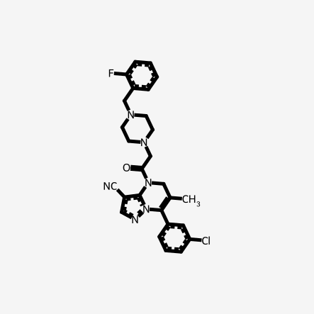 CC1=C(c2cccc(Cl)c2)n2ncc(C#N)c2N(C(=O)CN2CCN(Cc3ccccc3F)CC2)C1